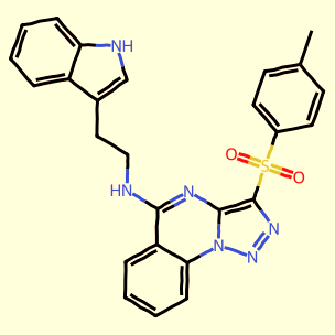 Cc1ccc(S(=O)(=O)c2nnn3c2nc(NCCc2c[nH]c4ccccc24)c2ccccc23)cc1